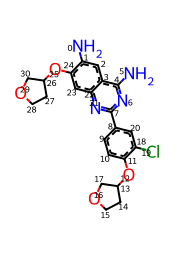 Nc1cc2c(N)nc(-c3ccc(OC4CCOC4)c(Cl)c3)nc2cc1OC1CCOC1